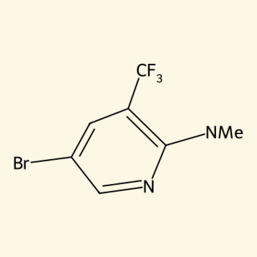 CNc1ncc(Br)cc1C(F)(F)F